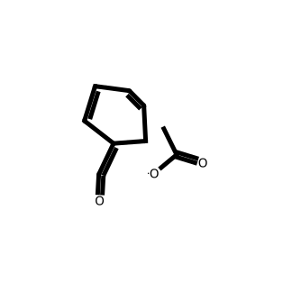 CC([O])=O.O=C=C1C=CC=CC1